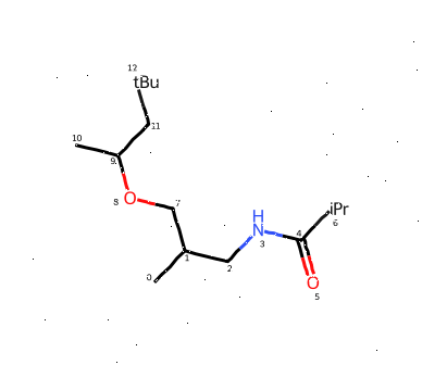 CC(CNC(=O)C(C)C)COC(C)CC(C)(C)C